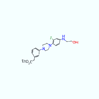 CCOC(=O)Cc1cccc(N2CCN(c3ccc(NCCO)cc3F)CC2)c1